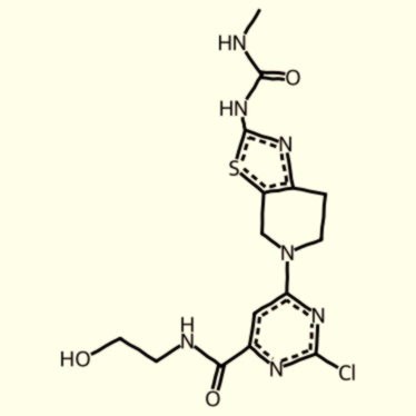 CNC(=O)Nc1nc2c(s1)CN(c1cc(C(=O)NCCO)nc(Cl)n1)CC2